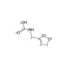 O=C(O)NCC1=CCOO1